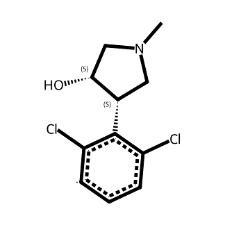 CN1C[C@@H](O)[C@@H](c2c(Cl)[c]ccc2Cl)C1